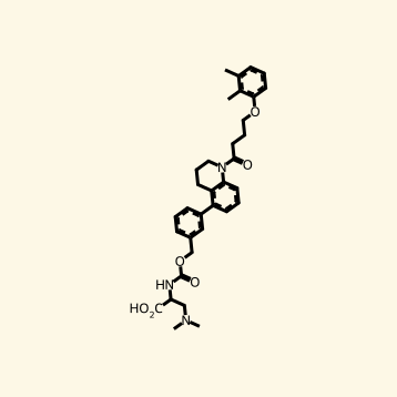 Cc1cccc(OCCCC(=O)N2CCCc3c(-c4cccc(COC(=O)NC(CN(C)C)C(=O)O)c4)cccc32)c1C